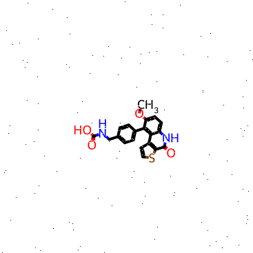 COc1ccc2[nH]c(=O)c3sccc3c2c1-c1ccc(CNC(=O)O)cc1